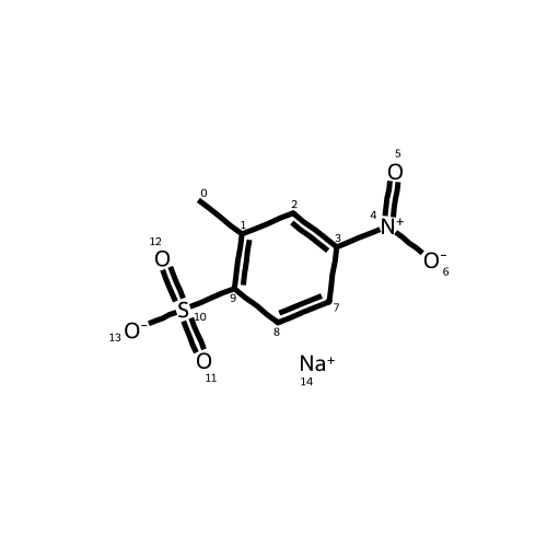 Cc1cc([N+](=O)[O-])ccc1S(=O)(=O)[O-].[Na+]